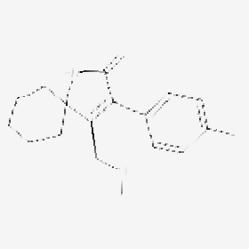 CCNCC1=C(c2ccc(F)cc2)C(=O)NC12CCCCC2